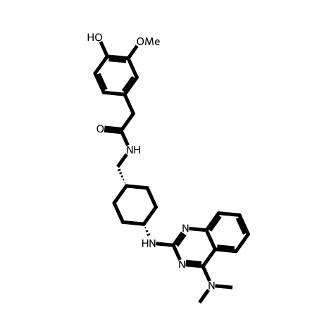 COc1cc(CC(=O)NC[C@H]2CC[C@@H](Nc3nc(N(C)C)c4ccccc4n3)CC2)ccc1O